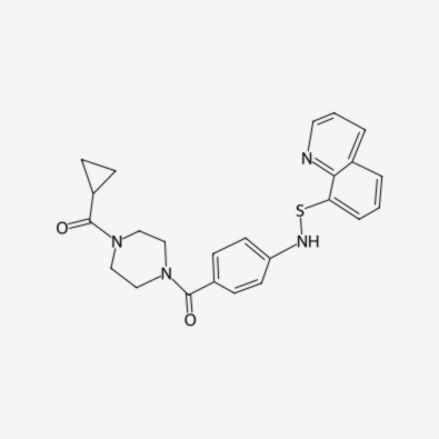 O=C(c1ccc(NSc2cccc3cccnc23)cc1)N1CCN(C(=O)C2CC2)CC1